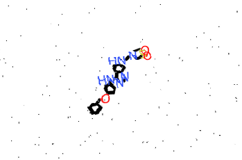 O=S1(=O)CCN(CCNc2ccc3c(Nc4ccc(OCc5ccccc5)cc4)ncnc3c2)CC1